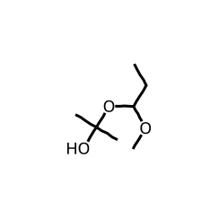 CCC(OC)OC(C)(C)O